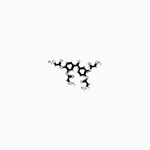 C=CC(=O)Oc1ccc(C(=O)c2ccc(OC(=O)C=C)c(OC(=O)C=C)c2)cc1OC(=O)C=C